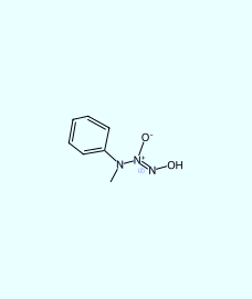 CN(c1ccccc1)/[N+]([O-])=N/O